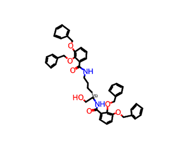 O=C(NCCCC[C@@H](CO)NC(=O)c1cccc(OCc2ccccc2)c1OCc1ccccc1)c1cccc(OCc2ccccc2)c1OCc1ccccc1